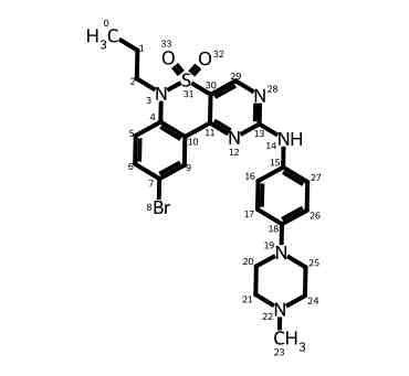 CCCN1c2ccc(Br)cc2-c2nc(Nc3ccc(N4CCN(C)CC4)cc3)ncc2S1(=O)=O